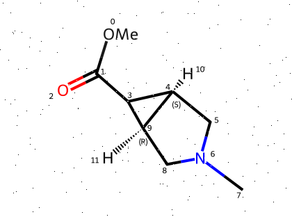 COC(=O)C1[C@H]2CN(C)C[C@@H]12